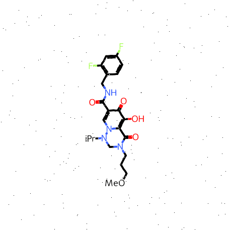 COCCCN1CN(C(C)C)n2cc(C(=O)NCc3ccc(F)cc3F)c(=O)c(O)c2C1=O